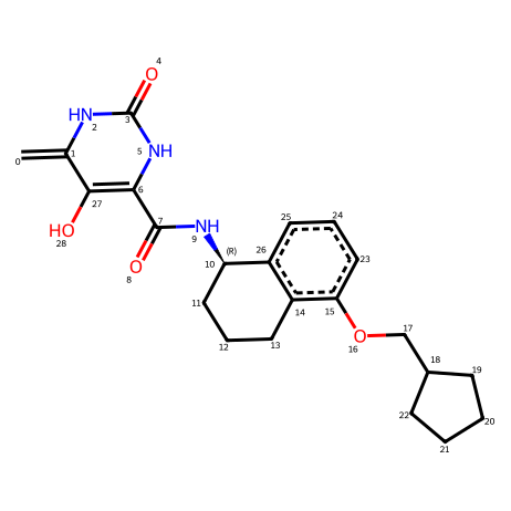 C=C1NC(=O)NC(C(=O)N[C@@H]2CCCc3c(OCC4CCCC4)cccc32)=C1O